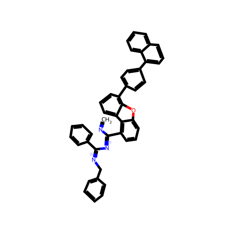 C=N/C(=N\C(=N/Cc1ccccc1)c1ccccc1)c1cccc2oc3c(-c4ccc(-c5cccc6ccccc56)cc4)cccc3c12